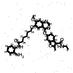 CCNC(=O)c1c(C)oc2cc(Oc3ncnc4cc(OC)c(OCCCCCC(=O)Nc5ccccc5N)cc34)ccc12